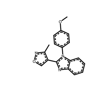 COc1ccc(-n2c(-c3conc3C)nc3ccccc32)cc1